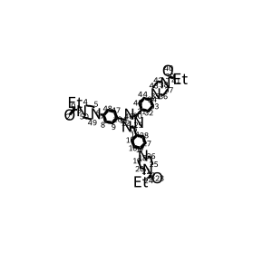 CCC(=O)N1CCN(c2ccc(-c3nc(-c4ccc(N5CCN(C(=O)CC)CC5)cc4)nc(-c4ccc(N5CCN(C(=O)CC)CC5)cc4)n3)cc2)CC1